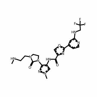 CNCCN1CCN(c2nn(C)cc2NC(=O)c2coc(-c3ccnc(NCC(F)(F)F)c3)n2)C1=O